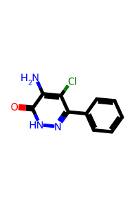 Nc1c(Cl)c(-c2ccccc2)n[nH]c1=O